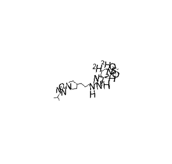 [2H]c1nc(NCCCC2CCN(c3nc(C(C)C)no3)CC2)nc2c1C([2H])N(S(C)(=O)=O)C([2H])C2[2H]